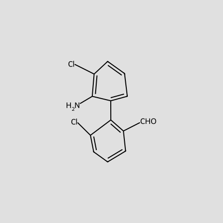 Nc1c(Cl)cccc1-c1c(Cl)cccc1C=O